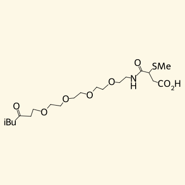 CCC(C)C(=O)CCOCCOCCOCCOCCNC(=O)C(CC(=O)O)SC